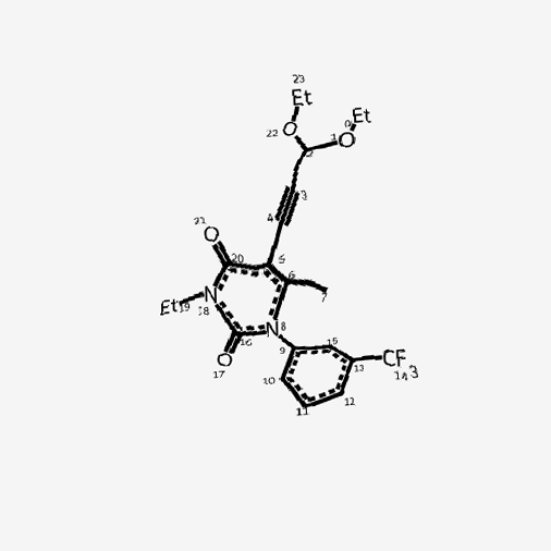 CCOC(C#Cc1c(C)n(-c2cccc(C(F)(F)F)c2)c(=O)n(CC)c1=O)OCC